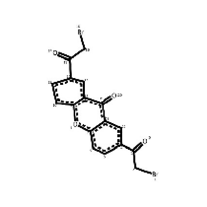 O=C(CBr)c1ccc2oc3ccc(C(=O)CBr)cc3c(=O)c2c1